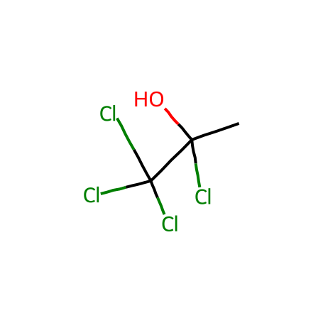 CC(O)(Cl)C(Cl)(Cl)Cl